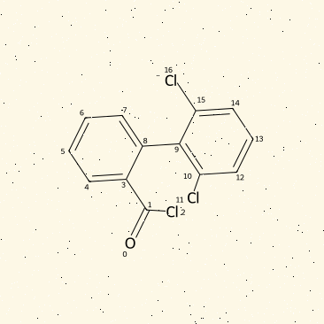 O=C(Cl)c1ccccc1-c1c(Cl)cccc1Cl